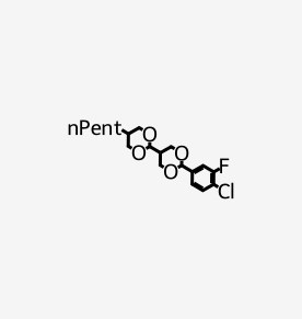 CCCCCC1COC(C2COC(c3ccc(Cl)c(F)c3)OC2)OC1